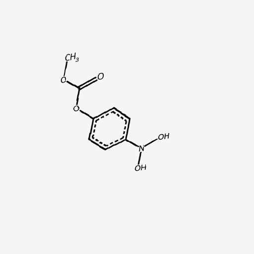 COC(=O)Oc1ccc(N(O)O)cc1